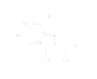 CCn1c(C)c(C(C)C)c(=O)n1C(C)C